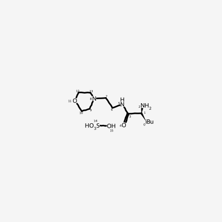 CC[C@H](C)[C@H](N)C(=O)NCCN1CCOCC1.O=S(=O)(O)O